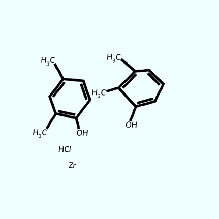 Cc1ccc(O)c(C)c1.Cc1cccc(O)c1C.Cl.[Zr]